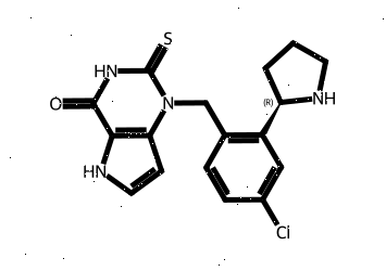 O=c1[nH]c(=S)n(Cc2ccc(Cl)cc2[C@H]2CCCN2)c2cc[nH]c12